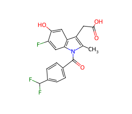 Cc1c(CC(=O)O)c2cc(O)c(F)cc2n1C(=O)c1ccc(C(F)F)cc1